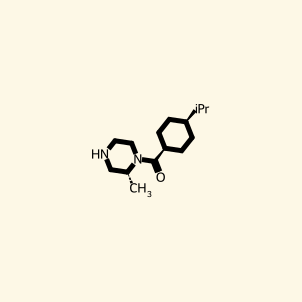 CC(C)[C@H]1CC[C@@H](C(=O)N2CCNC[C@H]2C)CC1